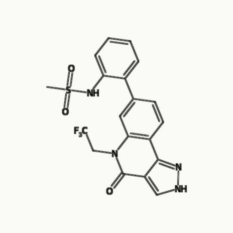 CS(=O)(=O)Nc1ccccc1-c1ccc2c3n[nH]cc3c(=O)n(CC(F)(F)F)c2c1